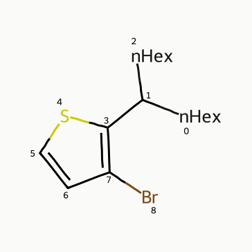 CCCCCCC(CCCCCC)c1sccc1Br